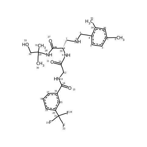 Cc1ccc(CNC[C@H](NC(=O)CNC(=O)c2cccc(C(F)(F)F)c2)C(=O)NC(C)(C)CO)c(C)c1